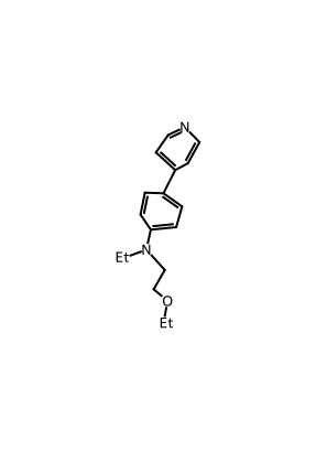 CCOCCN(CC)c1ccc(-c2ccncc2)cc1